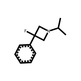 CC(C)N1CC(F)(c2ccccc2)C1